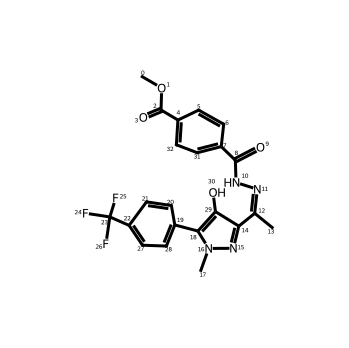 COC(=O)c1ccc(C(=O)NN=C(C)c2nn(C)c(-c3ccc(C(F)(F)F)cc3)c2O)cc1